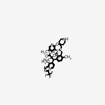 Cc1cnc2c(c1)[S+]([O-])N(Cc1cc(C(c3ccn4c(C(F)(F)F)nnc4c3C)C(C)(C)C(=O)O)ccc1C)CC1(CCNCC1)O2